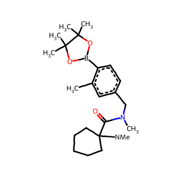 CNC1(C(=O)N(C)Cc2ccc(B3OC(C)(C)C(C)(C)O3)c(C)c2)CCCCC1